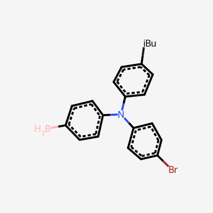 Bc1ccc(N(c2ccc(Br)cc2)c2ccc(C(C)CC)cc2)cc1